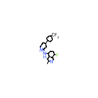 Cc1cc2c(Nc3cc(-c4ccc(C(F)(F)F)cc4)ccn3)ccc(F)c2cn1